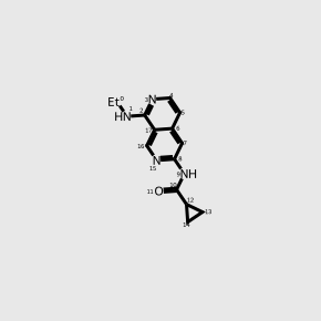 CCNc1nccc2cc(NC(=O)C3CC3)ncc12